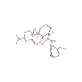 CCc1ccccc1NC(=O)[C@]1(C)CCC[C@@]2(C)C1CC=C1CC(C(C)C)CC[C@@H]12